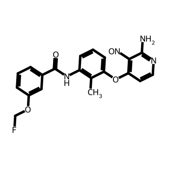 Cc1c(NC(=O)c2cccc(OCF)c2)cccc1Oc1ccnc(N)c1N=O